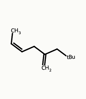 C=C(C/C=C\C)CC(C)(C)C